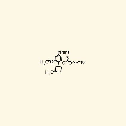 C=COc1cc(CCCCC)cc(OC(=S)OCCCBr)c1[C@@H]1C=C(C)CCC1